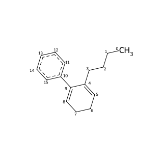 CCCCC1=CCCC=C1c1ccccc1